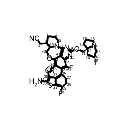 N#CCC1CCCN2c3nc(OC[C@@]45CCCN4C[C@H](F)C5)nc4c(F)c(-c5ccc(F)c6sc(N)c(C#N)c56)c(Cl)c(c34)OCC12